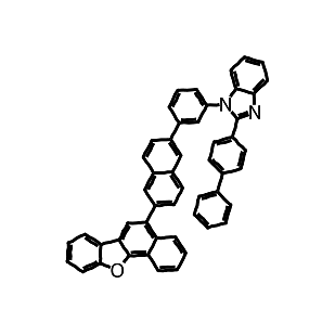 c1ccc(-c2ccc(-c3nc4ccccc4n3-c3cccc(-c4ccc5cc(-c6cc7c8ccccc8oc7c7ccccc67)ccc5c4)c3)cc2)cc1